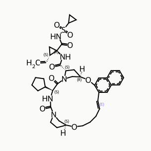 C=C[C@@H]1C[C@]1(NC(=O)[C@@H]1C[C@@H]2CN1C(=O)[C@H](C1CCCC1)NC(=O)N1CC[C@@H](C1)OCCC/C=C/c1cc3ccccc3cc1O2)C(=O)NS(=O)(=O)C1CC1